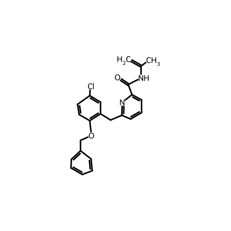 C=C(C)NC(=O)c1cccc(Cc2cc(Cl)ccc2OCc2ccccc2)n1